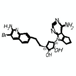 Nc1nc2cc(CC[C@H]3C[C@@H](n4c5c(c6c(N)ncnc64)CCC5)[C@H](O)[C@@H]3O)ccc2cc1Br